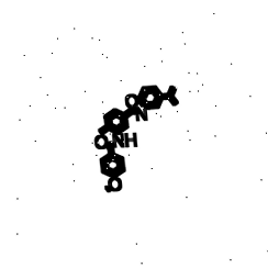 COc1ccc(C(=O)Nc2cc(-c3nc4cc(C(C)C)ccc4o3)ccc2C)cc1